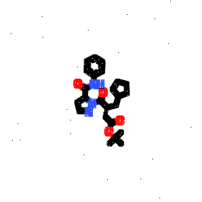 CC(C)(C)OC(=O)C[C@@H](CC1CCCC1)C(=O)N1N=CCC1C(=O)Nc1ccccc1